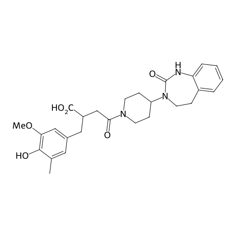 COc1cc(CC(CC(=O)N2CCC(N3CCc4ccccc4NC3=O)CC2)C(=O)O)cc(C)c1O